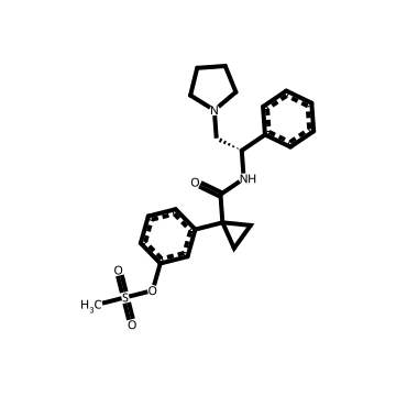 CS(=O)(=O)Oc1cccc(C2(C(=O)N[C@H](CN3CCCC3)c3ccccc3)CC2)c1